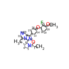 C=CC(=O)N1CCCC1c1nc(-c2ccc(Oc3cccc(OC)c3F)cc2)c2cncc(C)n12